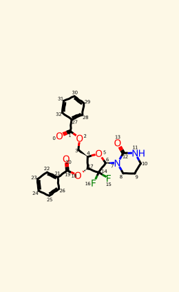 O=C(OC[C@H]1O[C@@H](N2CCCNC2=O)C(F)(F)[C@@H]1OC(=O)c1ccccc1)c1ccccc1